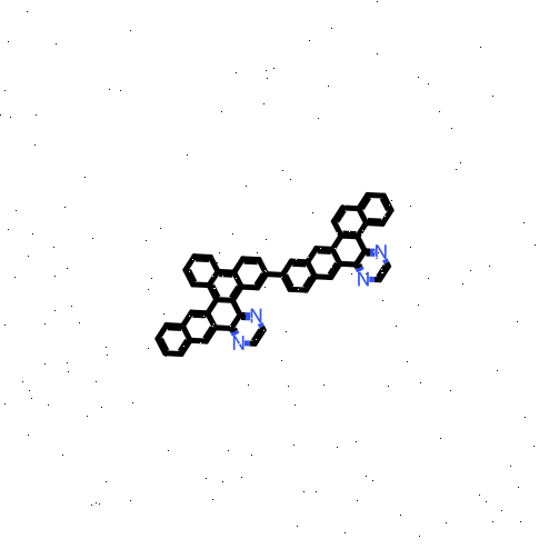 c1ccc2cc3c(cc2c1)c1nccnc1c1c2cc(-c4ccc5cc6c(cc5c4)c4ccc5ccccc5c4c4nccnc64)ccc2c2ccccc2c31